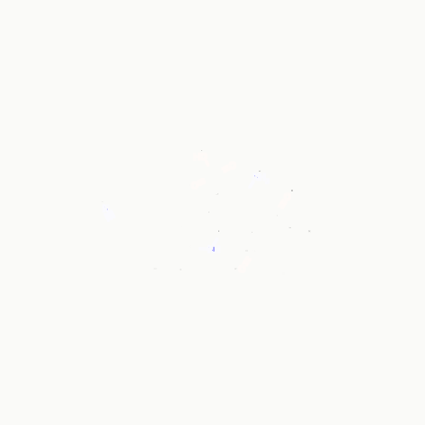 N#CCc1ccc(Nc2cc(S(=O)(=O)O)c(N)c3c2C(=O)c2ccccc2C3=O)cc1